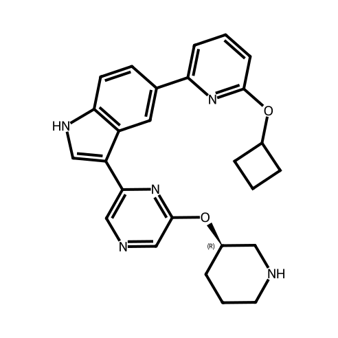 c1cc(OC2CCC2)nc(-c2ccc3[nH]cc(-c4cncc(O[C@@H]5CCCNC5)n4)c3c2)c1